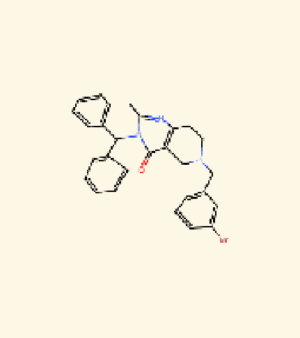 Cc1nc2c(c(=O)n1C(c1ccccc1)c1ccccc1)CN(Cc1cccc(Br)c1)CC2